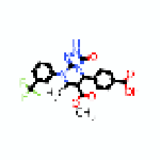 COC(=O)C1=C(C)N(c2cccc(C(F)(F)F)c2)c2n[nH]c(=O)n2C1c1ccc(C(=O)O)cc1